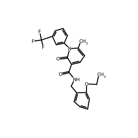 CCOc1ccccc1CNC(=O)c1ccc(C)n(-c2cccc(C(F)(F)F)c2)c1=O